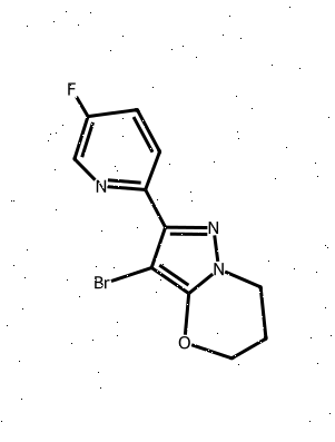 Fc1ccc(-c2nn3c(c2Br)OCCC3)nc1